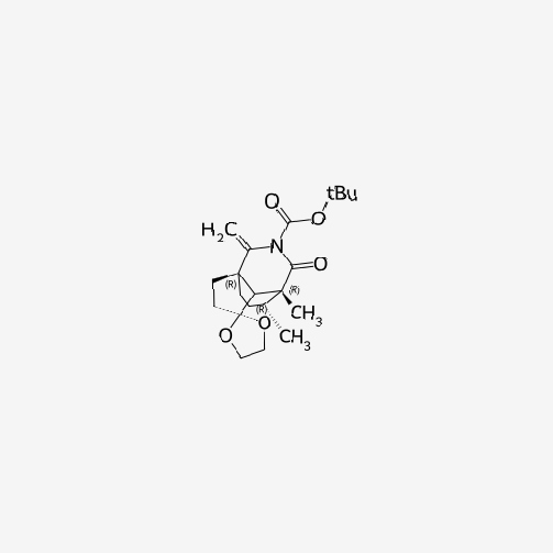 C=C1N(C(=O)OC(C)(C)C)C(=O)[C@@]2(C)C3C4(CC[C@@]13CC[C@H]2C)OCCO4